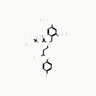 COc1ccc(CN(CCC(C)Oc2ccc(F)cc2)C(=O)OC(C)(C)C)c(OC)c1